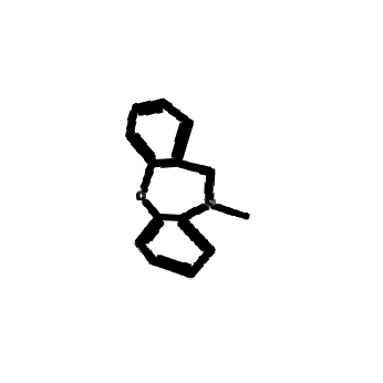 CN1Cc2ccccc2Oc2ccccc21